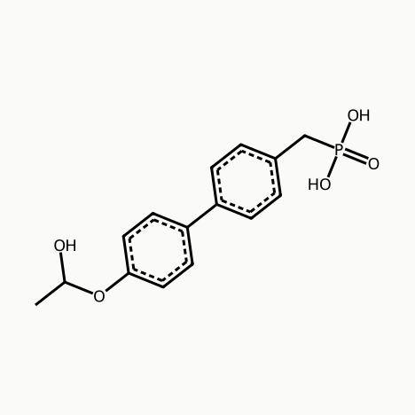 CC(O)Oc1ccc(-c2ccc(CP(=O)(O)O)cc2)cc1